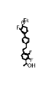 CCOc1ccc(-c2ccc(CCc3ccc(C(C)O)c(F)c3F)cc2)cc1F